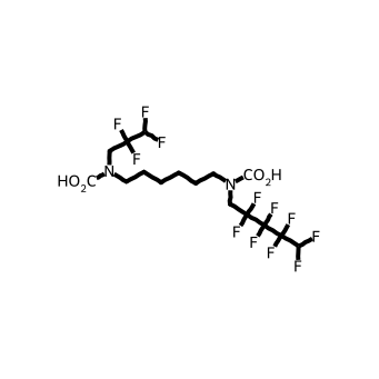 O=C(O)N(CCCCCCN(CC(F)(F)C(F)(F)C(F)(F)C(F)F)C(=O)O)CC(F)(F)C(F)F